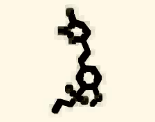 C=CCS(=O)(=O)c1cc(/C=C/c2ccc(=O)[nH]n2)ccc1OC